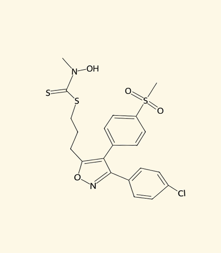 CN(O)C(=S)SCCCc1onc(-c2ccc(Cl)cc2)c1-c1ccc(S(C)(=O)=O)cc1